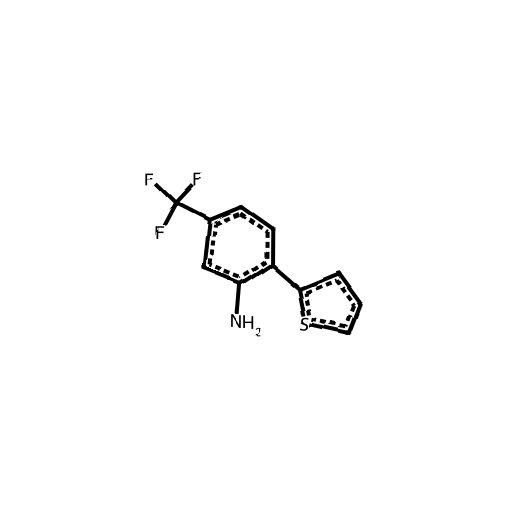 Nc1cc(C(F)(F)F)ccc1-c1cccs1